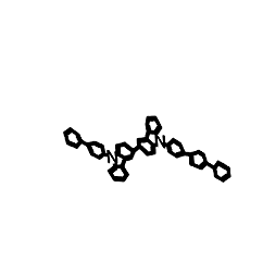 C1=CCC(c2ccc(-c3ccc(-n4c5ccccc5c5cc(-c6ccc7c(c6)c6ccccc6n7C6C=CC(c7ccccc7)=CC6)ccc54)cc3)cc2)C=C1